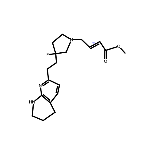 COC(=O)/C=C/CN1CCC(F)(CCc2ccc3c(n2)NCCC3)C1